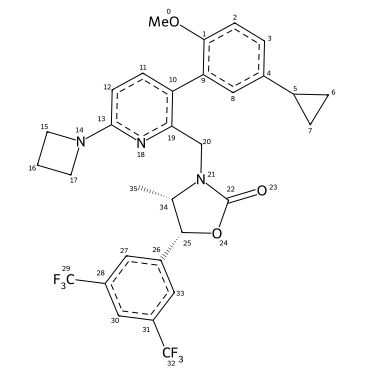 COc1ccc(C2CC2)cc1-c1ccc(N2CCC2)nc1CN1C(=O)O[C@H](c2cc(C(F)(F)F)cc(C(F)(F)F)c2)[C@@H]1C